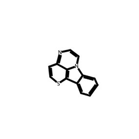 C1=Cc2nccn3c2c(c2ccccc23)S1